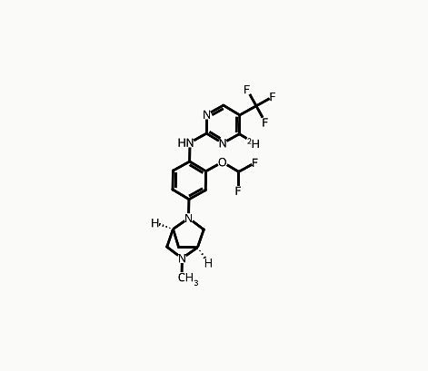 [2H]c1nc(Nc2ccc(N3C[C@@H]4C[C@H]3CN4C)cc2OC(F)F)ncc1C(F)(F)F